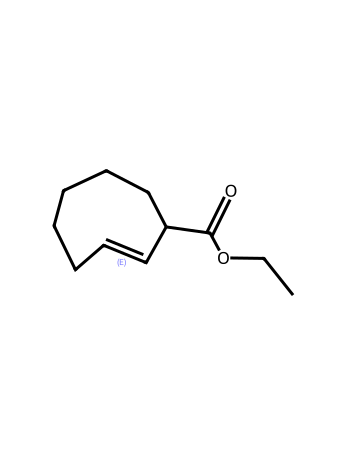 CCOC(=O)C1/C=C/CCCCC1